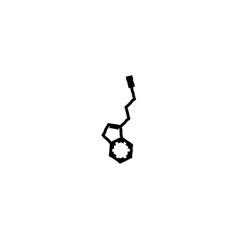 C#CCCCC1=CCc2ccccc21